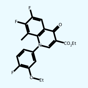 CCOC(=O)c1cn(-c2ccc(F)c(OCC)c2)c2c(C)c(F)c(F)cc2c1=O